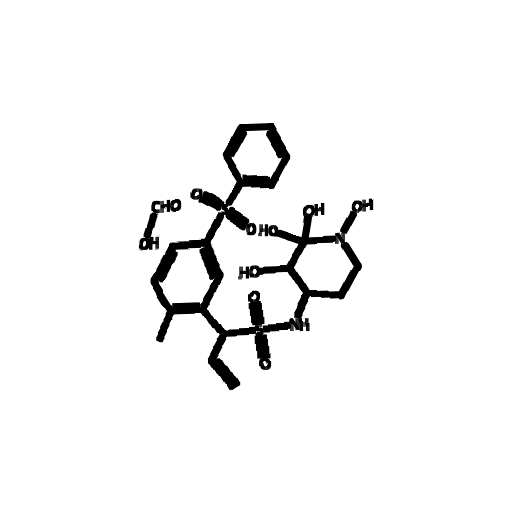 C=CC(c1cc(S(=O)(=O)c2ccccc2)ccc1C)S(=O)(=O)NC1CCN(O)C(O)(O)C1O.O=CO